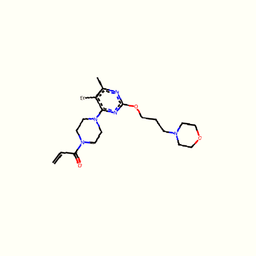 C=CC(=O)N1CCN(c2nc(OCCCN3CCOCC3)nc(C)c2CC)CC1